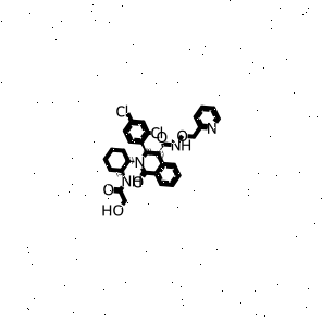 O=C(CO)N[C@H]1CCCC[C@@H]1N1C(=O)c2ccccc2[C@@H](C(=O)NOCc2ccccn2)[C@@H]1c1ccc(Cl)cc1Cl